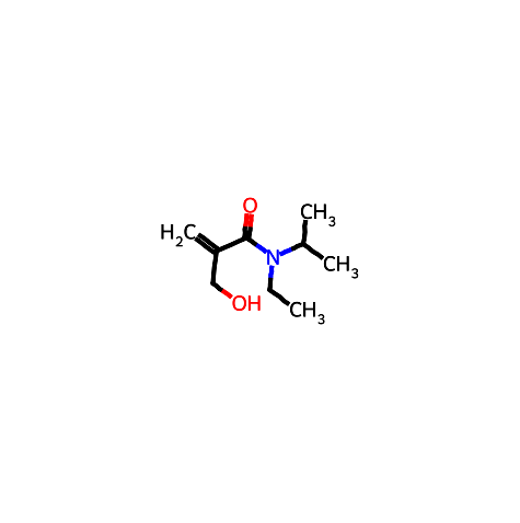 C=C(CO)C(=O)N(CC)C(C)C